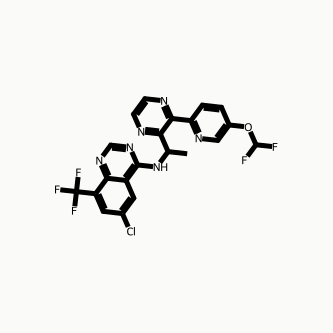 CC(Nc1ncnc2c(C(F)(F)F)cc(Cl)cc12)c1nccnc1-c1ccc(OC(F)F)cn1